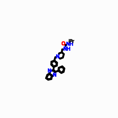 CC(C)NC(=O)NCC1CCCN(Cc2ccc(-c3nc4ccccc4nc3-c3ccccc3)cc2)C1